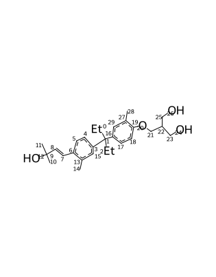 CCC(CC)(c1ccc(C=CC(C)(C)O)c(C)c1)c1ccc(OCC(CO)CO)c(C)c1